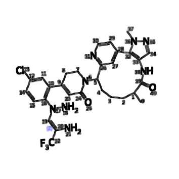 CC1CCCC(N2CCC(c3cc(Cl)ccc3N(N)/C=C(\N)C(F)(F)F)=CC2=O)c2cc(ccn2)-c2c(cnn2C)NC1=O